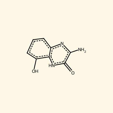 Nc1nc2cccc(O)c2[nH]c1=O